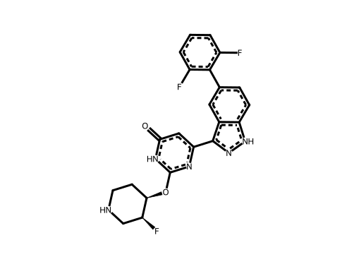 O=c1cc(-c2n[nH]c3ccc(-c4c(F)cccc4F)cc23)nc(O[C@@H]2CCNC[C@@H]2F)[nH]1